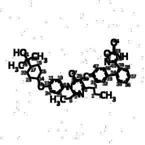 CCCc1nc(CC)n(-c2ccc(OC3CCC(C(C)(C)O)CC3)cc2)c(=O)c1Cc1ccc(-c2ccccc2-c2noc(=O)[nH]2)cc1